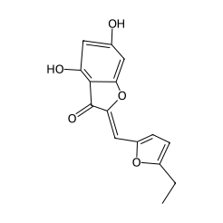 CCc1ccc(/C=C2\Oc3cc(O)cc(O)c3C2=O)o1